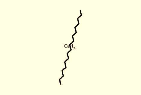 [CH2]CCCCCCCCCCCCCCCCC.[CaH2]